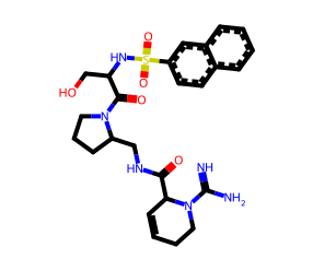 N=C(N)N1CCC=CC1C(=O)NCC1CCCN1C(=O)C(CO)NS(=O)(=O)c1ccc2ccccc2c1